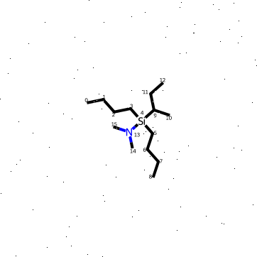 CCCC[Si](CCCC)(C(C)CC)N(C)C